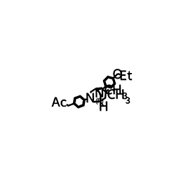 CCOc1ccc(N2C[C@H]3CN(c4ccc(CC(C)=O)cc4)CC2=CC(C)(C)C3)cc1